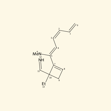 C=C/C=C\C=C(/NC)C1=CCC1(C=N)CC